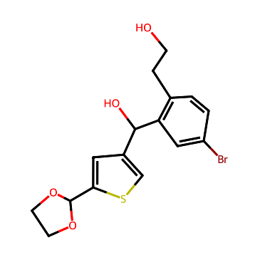 OCCc1ccc(Br)cc1C(O)c1csc(C2OCCO2)c1